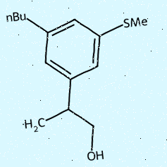 [CH2]C(CO)c1cc(CCCC)cc(SC)c1